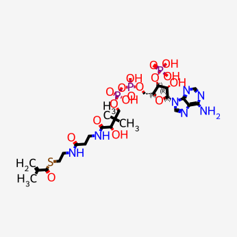 C=C(C)C(=O)SCCNC(=O)CCNC(=O)C(O)C(C)(C)COP(=O)(O)OP(=O)(O)OC[C@H]1O[C@@H](n2cnc3c(N)ncnc32)[C@H](O)[C@@H]1OP(=O)(O)O